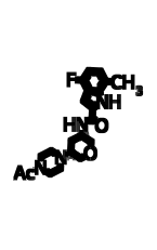 CC(=O)N1CCN([C@@H]2COC[C@H](NC(=O)c3cc4c(F)ccc(C)c4[nH]3)C2)CC1